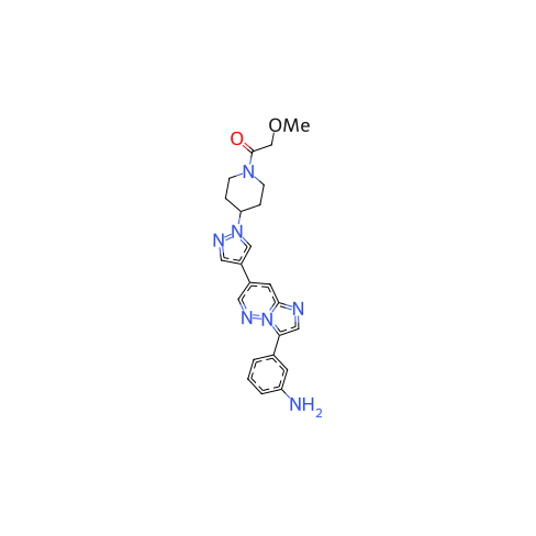 COCC(=O)N1CCC(n2cc(-c3cnn4c(-c5cccc(N)c5)cnc4c3)cn2)CC1